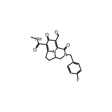 CNC(=O)c1c2n3c(c(C=O)c1=O)C(=O)N(Cc1ccc(F)cc1)CC3CC2